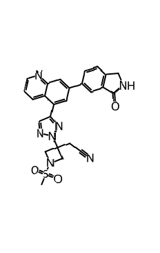 CS(=O)(=O)N1CC(CC#N)(n2ncc(-c3cc(-c4ccc5c(c4)C(=O)NC5)cc4ncccc34)n2)C1